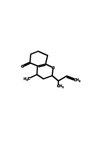 C=CC(C)C1CC(C)C2=C(CCCC2=O)O1